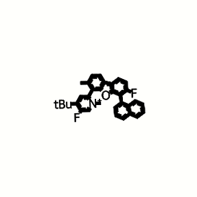 Cc1ccc2c(oc3c(-c4cccc5ccccc45)c(F)ccc32)c1-c1cc(C(C)(C)C)c(F)c[n+]1C